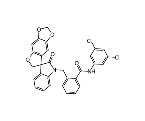 O=C(Nc1cc(Cl)cc(Cl)c1)c1ccccc1CN1C(=O)C2(COc3cc4c(cc32)OCO4)c2ccccc21